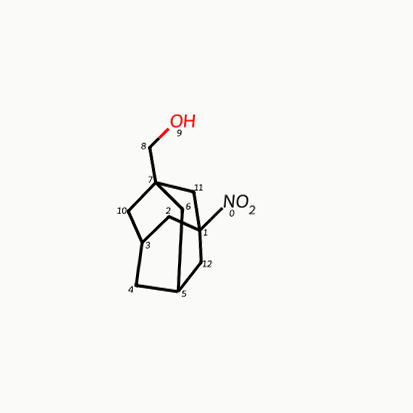 O=[N+]([O-])C12CC3CC(CC(CO)(C3)C1)C2